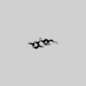 CCc1cc(Nc2nc(Cl)ncc2Br)n[nH]1